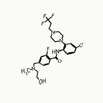 CN(CCO)Cc1ccc(C(=O)Nc2ccc(Cl)cc2N2CCN(CCC(F)(F)F)CC2)c(F)c1